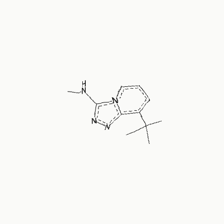 CNc1nnc2c(C(C)(C)C)cccn12